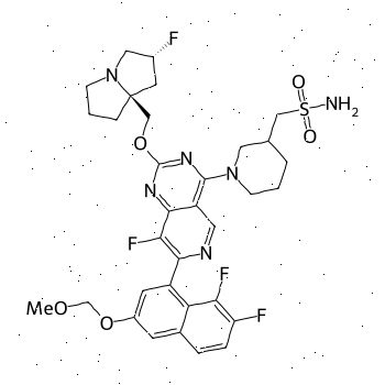 COCOc1cc(-c2ncc3c(N4CCCC(CS(N)(=O)=O)C4)nc(OC[C@@]45CCCN4C[C@H](F)C5)nc3c2F)c2c(F)c(F)ccc2c1